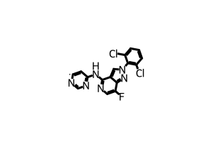 Fc1cnc(Nc2c[c]ncn2)c2cn(-c3c(Cl)cccc3Cl)nc12